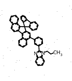 CCCn1c(-c2cccc(-c3cc4c(c5ccccc35)-c3ccc5ccccc5c3C43c4ccccc4-c4ccccc43)c2)nc2ccccc21